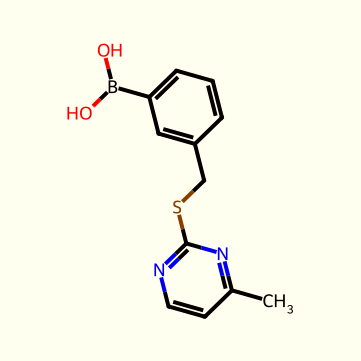 Cc1ccnc(SCc2cccc(B(O)O)c2)n1